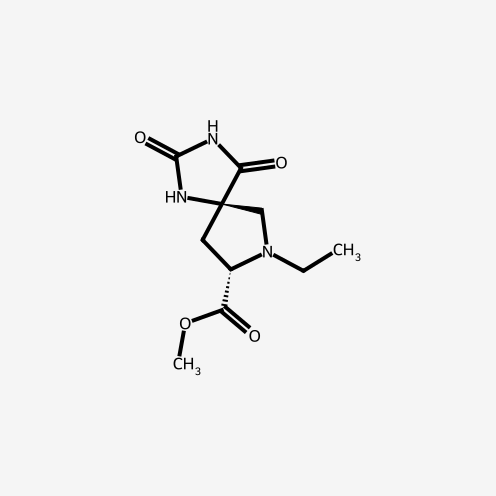 CCN1C[C@@]2(C[C@H]1C(=O)OC)NC(=O)NC2=O